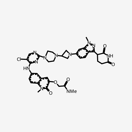 CNC(=O)COc1cc2cc(Nc3nc(N4CCN(C5CN(c6ccc7c(C8CCC(=O)NC8=O)nn(C)c7c6)C5)CC4)ncc3Cl)ccc2n(C)c1=O